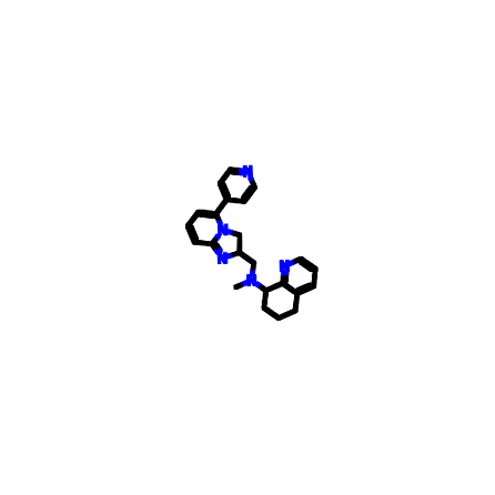 CN(CC1CN2C(c3ccncc3)=CC=CC2=N1)C1CCCc2cccnc21